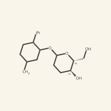 CC1CCC(C(C)C)C(OC2CC[C@H](O)[C@@H](CO)O2)C1